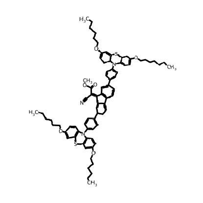 CCCCCCCOC1=CC=C2C(C1)SC1=CC(OCCCCCC)=CCC1N2c1ccc(-c2ccc3c(c2)/C(=C(/C#N)C(=O)OC)C2=CC(c4ccc(N5c6ccc(OCCCCCC)cc6Sc6cc(OCCCCCC)ccc65)cc4)CC=C23)cc1